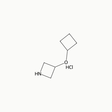 C1CC(OC2CNC2)C1.Cl